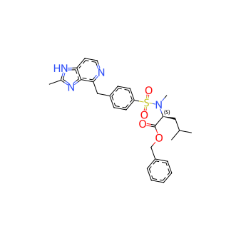 Cc1nc2c(Cc3ccc(S(=O)(=O)N(C)[C@@H](CC(C)C)C(=O)OCc4ccccc4)cc3)nccc2[nH]1